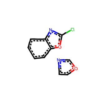 Clc1nc2ccccc2o1.c1cocn1